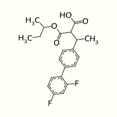 CCC(C)OC(=O)C(C(=O)O)C(C)c1ccc(-c2ccc(F)cc2F)cc1